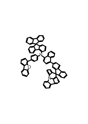 c1ccc2c(c1)-c1ccccc1C21c2ccccc2-c2c(N(c3ccc(-c4cccc5c4oc4ccccc45)cc3)c3ccc(-c4ccc5c(c4)C4(c6ccccc6-5)c5ccccc5-n5c6ccccc6c6cccc4c65)c4ccccc34)cccc21